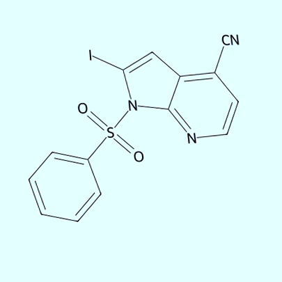 N#Cc1ccnc2c1cc(I)n2S(=O)(=O)c1ccccc1